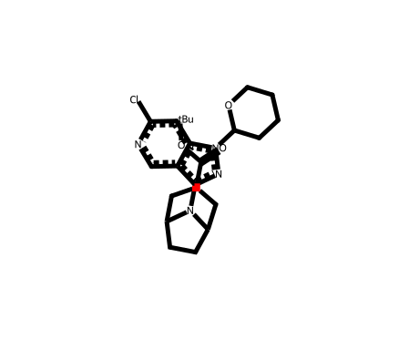 CC(C)(C)OC(=O)N1CC2CCC(C1)N2c1nn(C2CCCCO2)c2cc(Cl)ncc12